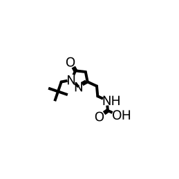 CC(C)(C)CN1N=C(CCNC(=O)O)CC1=O